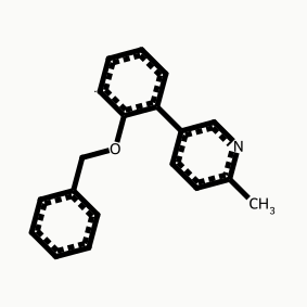 Cc1ccc(-c2ccc[c]c2OCc2ccccc2)cn1